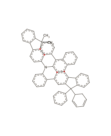 CC1(C)c2ccccc2-c2ccc(N(c3ccccc3-c3ccc4c(c3)C(c3ccccc3)(C3C=CC=CC3)c3ccccc3-4)c3ccc4ccccc4c3-c3ccccc3)cc21